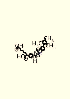 Cc1cc(C)c(-c2ccc(/C=C3/SC(Nc4ccc(C(CCCCCC(=O)O)C(=O)O)cc4)=NC3=O)cc2)c(C)c1